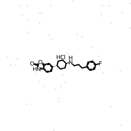 Cl.O=c1[nH]c2ccc([C@H]3CC[C@H](NCCCc4ccc(F)cc4)CC3)cc2o1